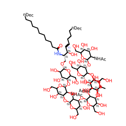 CCCCCCCCCCCCC/C=C/[C@@H](O)[C@H](CO[C@@H]1OC(CO)[C@@H](O[C@@H]2OC(CO)[C@H](O)[C@H](O[C@@H]3OC(CO)[C@@H](O)[C@H](O[C@@H]4OC(CO)[C@H](O)[C@H](O[C@@H]5OC(CO)[C@@H](O)[C@H](O[C@@H]6OC(CO)[C@H](O)[C@H](O[C@H]7OC(CO)[C@H](O)[C@H](O)C7NC(C)=O)C6O[C@H]6OC(C)[C@@H](O)C(O)[C@@H]6O)C5NC(C)=O)C4O)C3NC(C)=O)C2O)[C@H](O)C1O)NC(=O)CCCCCCCCCCCCCCCCCCC